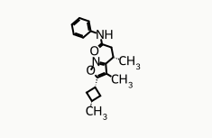 Cc1c([C@@H](C)CC(=O)Nc2ccccc2)noc1[C@H]1C[C@@H](C)C1